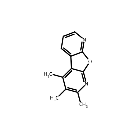 Cc1nc2oc3ncccc3c2c(C)c1C